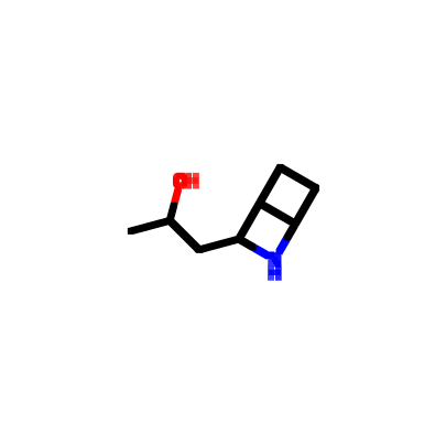 CC(O)CC1NC2CCC21